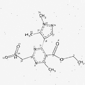 CCOC(=O)c1c(C)nc(C[SH](=O)=O)nc1-c1cnn(C)c1C